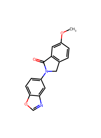 COc1ccc2c(c1)C(=O)N(c1ccc3ocnc3c1)C2